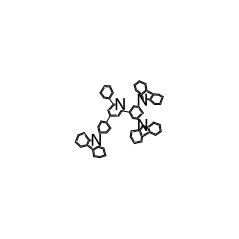 c1ccc(-c2cc(-c3ccc(-n4c5ccccc5c5ccccc54)cc3)cc(-c3cc(-n4c5ccccc5c5ccccc54)cc(-n4c5ccccc5c5ccccc54)c3)n2)cc1